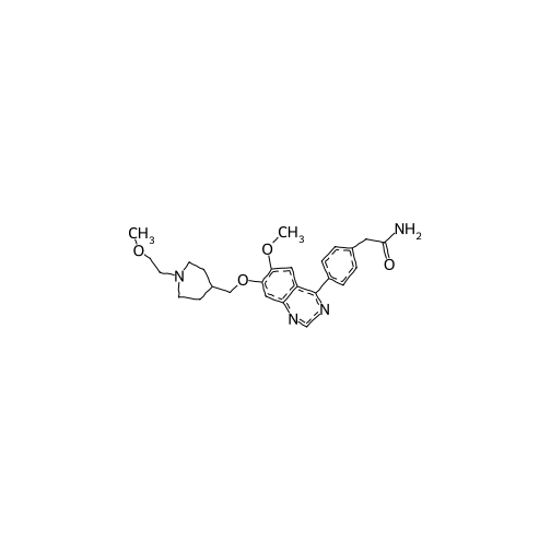 COCCN1CCC(COc2cc3ncnc(-c4ccc(CC(N)=O)cc4)c3cc2OC)CC1